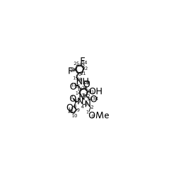 COCCN1CN(C(=O)c2ccco2)n2cc(C(=O)NCc3ccc(F)cc3F)c(=O)c(O)c2C1=O